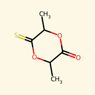 CC1OC(=S)C(C)OC1=O